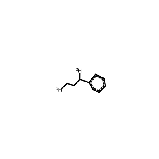 [2H]CCC([2H])c1ccccc1